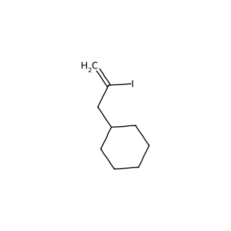 C=C(I)CC1CCCCC1